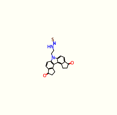 O=C1CCc2c1ccc1c2c2c3c(ccc2n1CCNN=S)C(=O)CC3